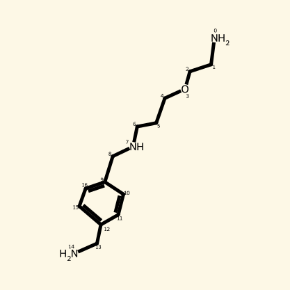 NCCOCCCNCc1ccc(CN)cc1